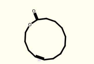 O=C1CCCCCCC/C=C\CCCO1